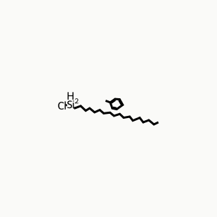 CCCCCCCCCCCCCCCCCC[SiH2]Cl.Cc1ccccc1